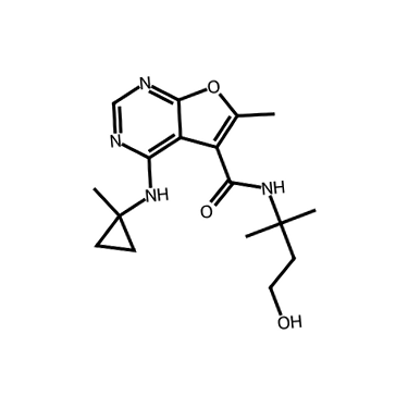 Cc1oc2ncnc(NC3(C)CC3)c2c1C(=O)NC(C)(C)CCO